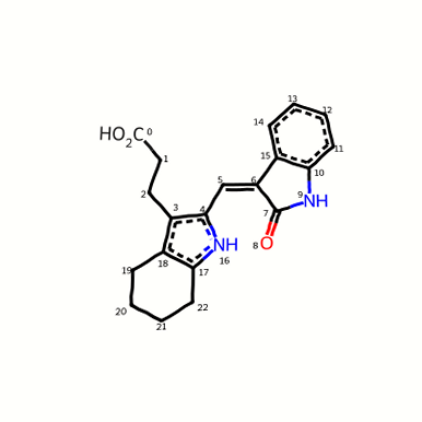 O=C(O)CCc1c(C=C2C(=O)Nc3ccccc32)[nH]c2c1CCCC2